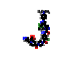 CN(C)c1ccc(-n2cc(-c3cnc(C(=O)Nc4ccc(C(=O)N5CCN(C(=O)C6CC[N+](CC(=O)O)(CC7CNC7)CC6)CC5)c(Cl)c4)n3C)c(C(F)(F)F)n2)cc1